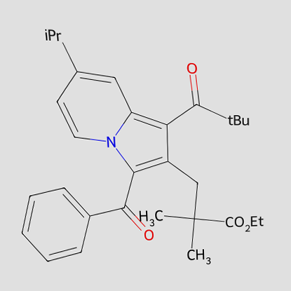 CCOC(=O)C(C)(C)Cc1c(C(=O)C(C)(C)C)c2cc(C(C)C)ccn2c1C(=O)c1ccccc1